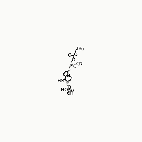 CC(C)(C)COC(=O)OC[C@H](CCc1ccc2c(=N)n(COP(=O)(O)O)cnn12)OC#N